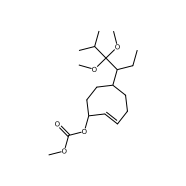 CCC(C1CC/C=C/C(OC(=O)OC)CC1)C(OC)(OC)C(C)C